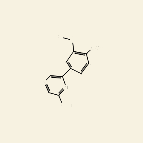 COc1ccc(-c2cncc(C(=O)O)n2)cc1OC(C)C